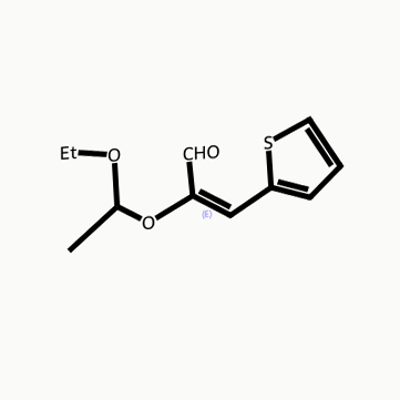 CCOC(C)O/C(C=O)=C/c1cccs1